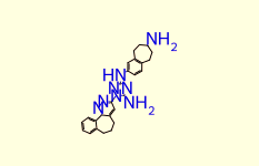 Nc1nc(Nc2ccc3c(c2)CC[C@@H](N)CC3)nn1-c1cc2c(nn1)-c1ccccc1CCC2